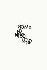 COC(=O)c1ccc(NC(=O)C(CC2CCCO2)n2cnc3cc(S(C)(=O)=O)ccc3c2=O)nc1